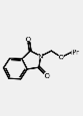 CC(C)OCN1C(=O)c2ccccc2C1=O